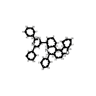 c1ccc(-c2cc(-c3cccc4c3nc(-c3ccccc3)c3ccc5oc6ccccc6c5c34)nc(-c3ccccc3)n2)cc1